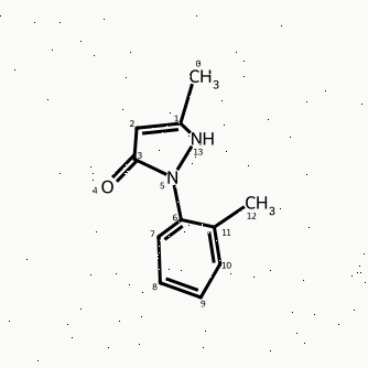 Cc1cc(=O)n(-c2ccccc2C)[nH]1